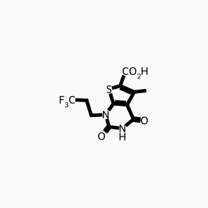 Cc1c(C(=O)O)sc2c1c(=O)[nH]c(=O)n2CCC(F)(F)F